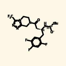 CC(C)(C)[S@@+]([O-])N[C@@H](CC(=O)N1CCn2c(nnc2C(F)(F)F)C1)Cc1cc(F)c(F)cc1F